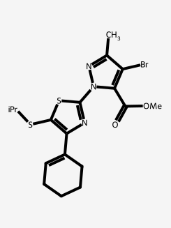 COC(=O)c1c(Br)c(C)nn1-c1nc(C2=CCCCC2)c(SC(C)C)s1